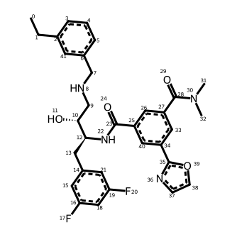 CCc1cccc(CNC[C@@H](O)[C@H](Cc2cc(F)cc(F)c2)NC(=O)c2cc(C(=O)N(C)C)cc(-c3ncco3)c2)c1